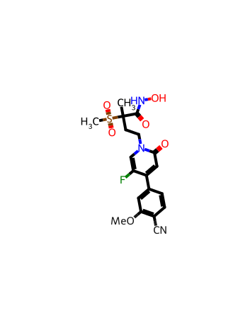 COc1cc(-c2cc(=O)n(CCC(C)(C(=O)NO)S(C)(=O)=O)cc2F)ccc1C#N